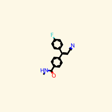 CNC(=O)c1ccc(C(=CC#N)c2ccc(F)cc2)cc1